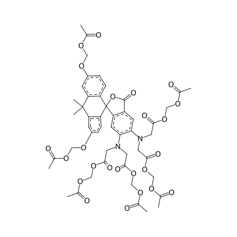 CC(=O)OCOC(=O)CN(CC(=O)OCOC(C)=O)c1cc2c(cc1N(CC(=O)OCOC(C)=O)CC(=O)OCOC(C)=O)C1(OC2=O)c2ccc(OCOC(C)=O)cc2C(C)(C)c2cc(OCOC(C)=O)ccc21